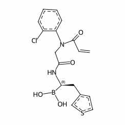 C=CC(=O)N(CC(=O)N[C@@H](Cc1ccsc1)B(O)O)c1ccccc1Cl